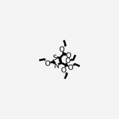 CCOC(=O)c1sc(OCC)nc1C(OCC)(OCC)OCC